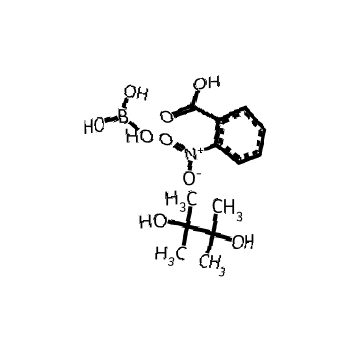 CC(C)(O)C(C)(C)O.O=C(O)c1ccccc1[N+](=O)[O-].OB(O)O